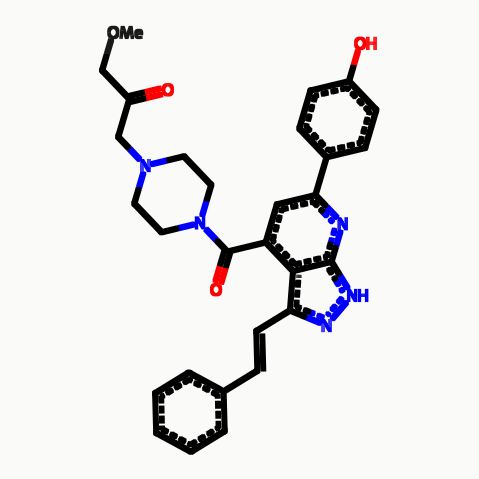 COCC(=O)CN1CCN(C(=O)c2cc(-c3ccc(O)cc3)nc3[nH]nc(C=Cc4ccccc4)c23)CC1